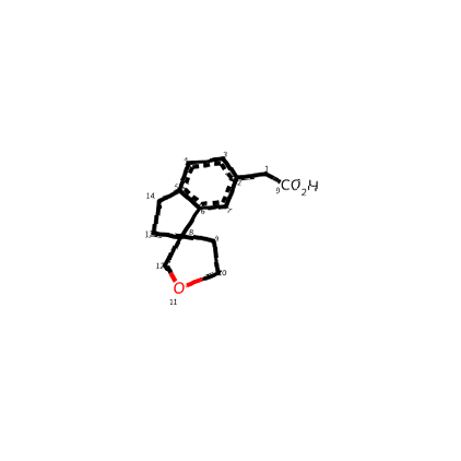 O=C(O)Cc1ccc2c(c1)C1(CCOC1)CC2